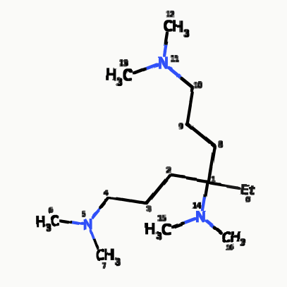 CCC(CCCN(C)C)(CCCN(C)C)N(C)C